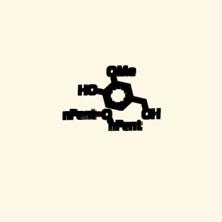 CCCCCOCCCCC.COc1cc(CO)ccc1O